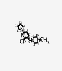 CN1CCN(Cc2[c]cc(N3CCCC3)nc2Cl)CC1